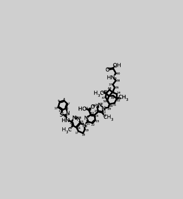 Cc1c(Nc2nc3ccccc3s2)nnc2c1CCCN2c1ccc(-c2cnn(CC34CC5(C)CC6(CCCNCC(=O)O)CC(C)(C3)C6(C5)C4)c2C)c(C(=O)O)n1